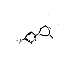 CC1CN(c2ccc(N)nn2)CCO1